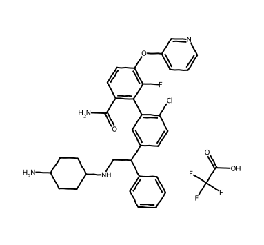 NC(=O)c1ccc(Oc2cccnc2)c(F)c1-c1cc(C(CNC2CCC(N)CC2)c2ccccc2)ccc1Cl.O=C(O)C(F)(F)F